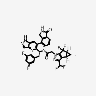 C[C@@H]1[C@@H]2c3c(C(F)F)nn(CC(=O)N[C@@H](Cc4cc(F)cc(F)c4)c4nc5cn[nH]c5cc4-c4cccc5c4CNC5=O)c3C(F)(F)[C@H]12